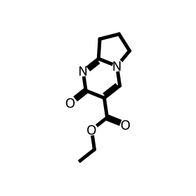 CCOC(=O)c1cn2c(nc1=O)CCC2